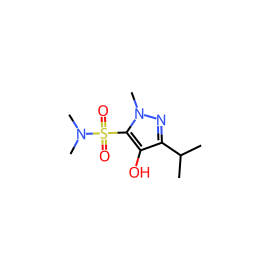 CC(C)c1nn(C)c(S(=O)(=O)N(C)C)c1O